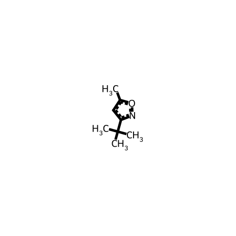 Cc1cc(C(C)(C)C)no1